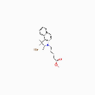 Br.COC(=O)CCCCN1c2ccc3ccccc3c2C(C)(C)C1C